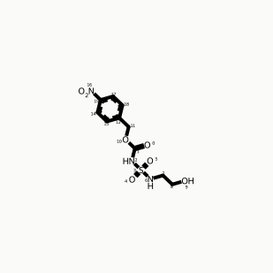 O=C(NS(=O)(=O)NCCO)OCc1ccc([N+](=O)[O-])cc1